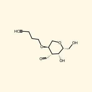 C#CCCCO[C@H]1CO[C@H](CO)[C@H](O)[C@@H]1C=O